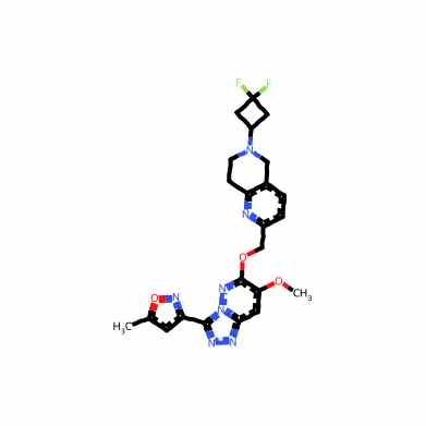 COc1cc2nnc(-c3cc(C)on3)n2nc1OCc1ccc2c(n1)CCN(C1CC(F)(F)C1)C2